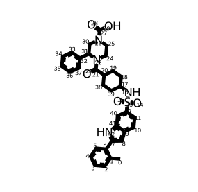 Cc1ccccc1-c1cc2ccc(S(=O)(=O)NC3CCC(C(=O)N4CCN(C(=O)O)CC4c4ccccc4)CC3)cc2[nH]1